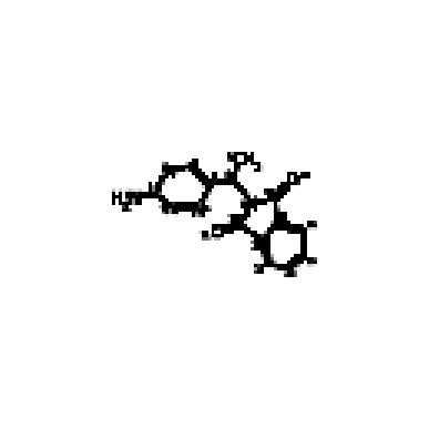 CC(C1=CSC(N)N=N1)N1C(=O)c2ccccc2C1=O